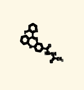 CC(=O)NNC(=O)c1ccc2c(c1)N=C(c1ncccc1F)c1ccccc1S2